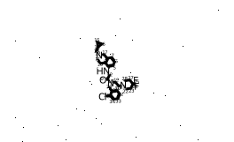 O=C(CNc1cccc2c1CCN(CC1CC1)C2)N(CCN1CCC(F)(F)CC1)Cc1ccccc1Cl